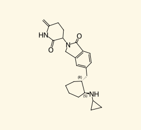 C=C1CCC(N2Cc3cc(C[C@H]4CCCC[C@@H]4NC4CC4)ccc3C2=O)C(=O)N1